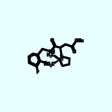 CC(C)COC(=O)CC(C(=O)NCc1cccc(F)c1F)N1CCC[C@]1(C)C(=O)O